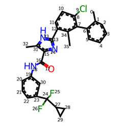 Cc1ccccc1-c1c(Cl)ccc(-c2nc(C(=O)Nc3cccc(C(F)(F)C4CC4)c3)c(C)[nH]2)c1C